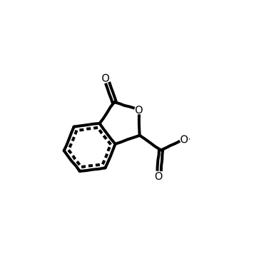 [O]C(=O)C1OC(=O)c2ccccc21